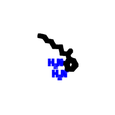 CCCCCCCC(C)c1cccc(N)c1N